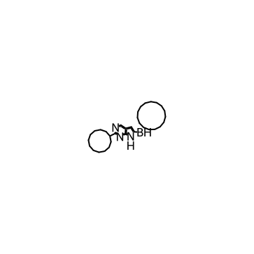 B(c1cc2cnc(C3CCCCCCCCCCC3)nc2[nH]1)C1CCCCCCCCCCCCCC1